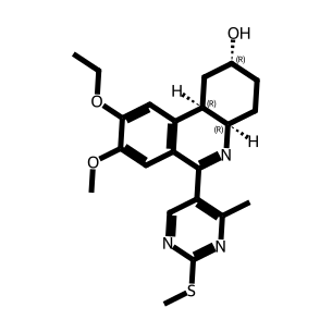 CCOc1cc2c(cc1OC)C(c1cnc(SC)nc1C)=N[C@@H]1CC[C@@H](O)C[C@H]21